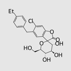 CCc1ccc(Cc2cc3c(cc2Cl)OC(=O)C32O[C@H](CO)[C@@H](O)[C@H](O)[C@H]2O)cc1